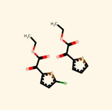 CCOC(=O)C(=O)c1ccc(Br)s1.CCOC(=O)C(=O)c1cccs1